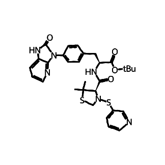 CC(C)(C)OC(=O)[C@H](Cc1ccc(-n2c(=O)[nH]c3cccnc32)cc1)NC(=O)[C@H]1N(Sc2cccnc2)CSC1(C)C